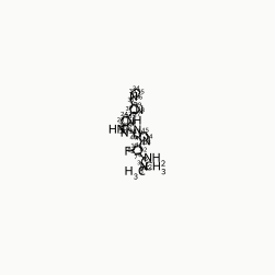 CN(C)CC(N)c1cc(F)cc(-c2nccc3[nH]c(-c4n[nH]c5ccc(-c6cncc(CN7CCCC7)c6)nc45)cc23)c1